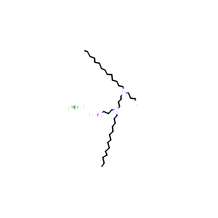 CCCCCCCCCCCCCCN(CCCN)CCCCN(CCCCCCCCCCCCCC)CCCNO.Cl.Cl.Cl.Cl